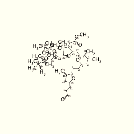 C=C1C(C)CC(CC[C@@H]2O[C@@H](CCC=O)CC2=C)OC1C[C@@H]1O[C@H](CC(CO[Si](C)(C)C(C)(C)C)O[Si](C)(C)C(C)(C)C)[C@H](OC)C1CC(=O)OC